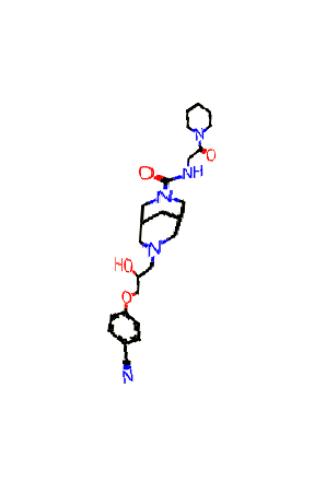 N#Cc1ccc(OCC(O)CN2CC3CC(C2)CN(C(=O)NCC(=O)N2CCCCC2)C3)cc1